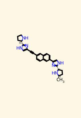 C[C@H]1CC[C@@H](c2nc(-c3ccc4cc(C#Cc5c[nH]c([C@@H]6CCCN6)n5)ccc4c3)c[nH]2)N1